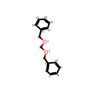 [CH](OCOCc1ccccc1)c1ccccc1